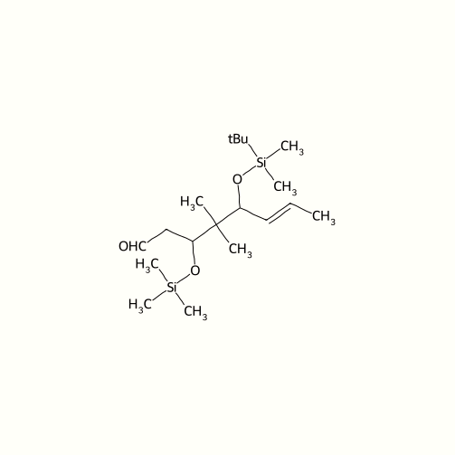 C/C=C/C(O[Si](C)(C)C(C)(C)C)C(C)(C)C(CC=O)O[Si](C)(C)C